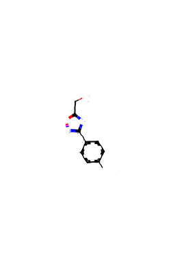 Cc1ccc(-c2noc(CO)n2)cc1